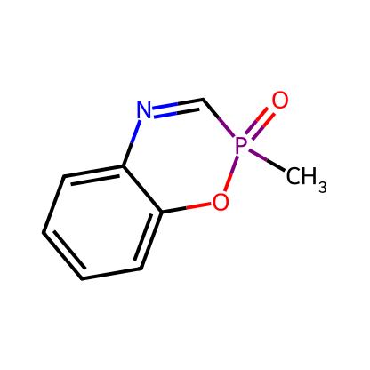 CP1(=O)C=Nc2ccccc2O1